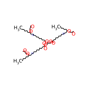 CCCCCCC(C/C=C/CCCCCCCC(=O)OCC(COC(=O)CCCCCCC/C=C/CC(CCCCCC)OCC1CO1)OC(=O)CCCCCCC/C=C/CC(CCCCCC)OCC1CO1)OCC1CO1